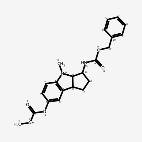 CNC(=O)Oc1ccc2c(c1)C1CCC(NC(=O)OCc3ccccc3)C1N2C